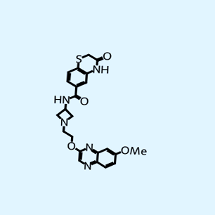 COc1ccc2ncc(OCCN3CC(NC(=O)c4ccc5c(c4)NC(=O)CS5)C3)nc2c1